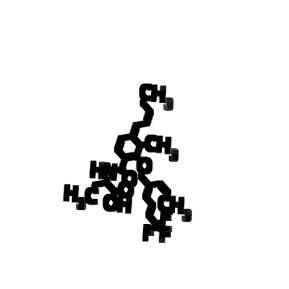 C\C=C/C(=C\C=C\C(F)(F)F)COC1=C(C(=O)NC(CC)C(=O)O)C=C/C(=C/C=C\CC)C1C